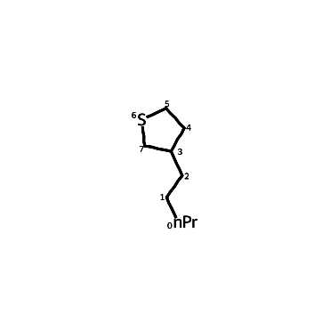 CCCCCC1CCSC1